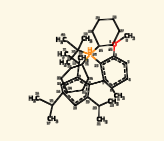 COc1ccc(C)c(-c2c(C(C)C)cc(C(C)C)cc2C(C)C)c1[PH](C1CCCCC1)(C1CCCCC1)C(C)(C)C